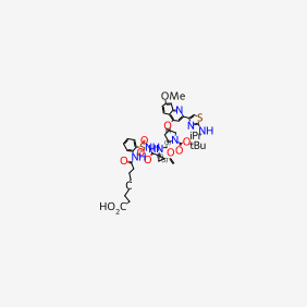 C=C[C@@H]1C[C@]1(NC(=O)[C@@H]1C[C@@H](Oc2cc(-c3csc(NC(C)C)n3)nc3cc(OC)ccc23)CN1C(=O)OC(C)(C)C)C(=O)NS(=O)(=O)c1ccccc1NC(=O)CCCCCCCC(=O)O